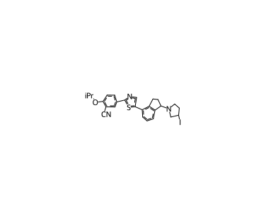 CC(C)Oc1ccc(-c2ncc(-c3cccc4c3CCC4N3CCC(I)C3)s2)cc1C#N